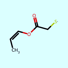 C/C=C\OC(=O)C[S]